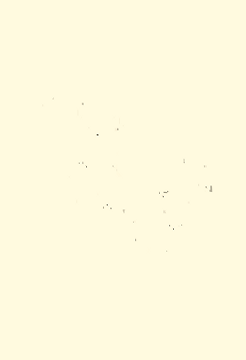 CCOC(n1ccc2nc(-c3cccnc3N[C@H]3CCNC3)cnc21)[Si](C)(C)C